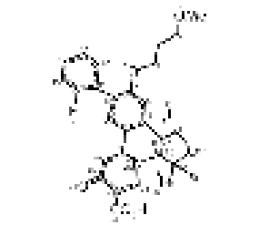 COCCCOc1cc2c(cc1-c1ccccc1F)-c1cc(=O)c(C(=O)O)cn1[C@H]1[C@@H]2COC1(C)C